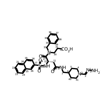 NN=CN1CCC(CNC(=O)C[C@H](NS(=O)(=O)c2ccc3ccccc3c2)C(=O)N(CCC(=O)O)Cc2ccccc2)CC1